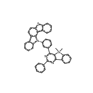 C[Si]1(C)c2ccccc2-c2nc(-c3ccccc3)nc(-c3cccc(-n4c5ccccc5c5ccc6sc7ccccc7c6c54)c3)c21